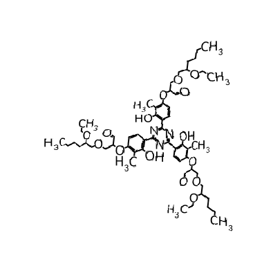 CCCCC(COCC(C=O)Oc1ccc(-c2nc(-c3ccc(OC(C=O)COCC(CCCC)OCC)c(C)c3O)nc(-c3ccc(OC(C=O)COCC(CCCC)OCC)c(C)c3O)n2)c(O)c1C)OCC